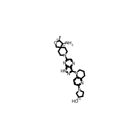 C[C@@H]1OCC2(CCN(c3cnc4c(N5CCCc6nc(N7CC[C@H](O)C7)ccc65)n[nH]c4n3)CC2)[C@@H]1N